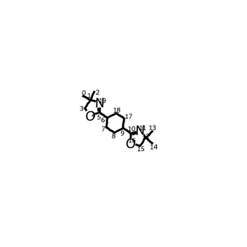 CC1(C)COC(C2CCC(C3=NC(C)(C)CO3)CC2)=N1